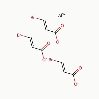 O=C([O-])C=CBr.O=C([O-])C=CBr.O=C([O-])C=CBr.[Al+3]